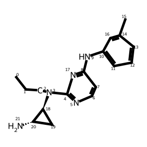 CCCN(c1nccc(Nc2cccc(C)c2)n1)[C@H]1C[C@@H]1N